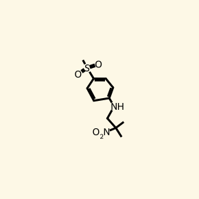 CC(C)(CNc1ccc(S(C)(=O)=O)cc1)[N+](=O)[O-]